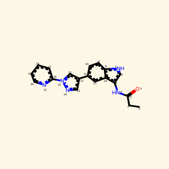 CCC(=O)Nc1c[nH]c2ccc(-c3cnn(-c4ccccn4)c3)cc12